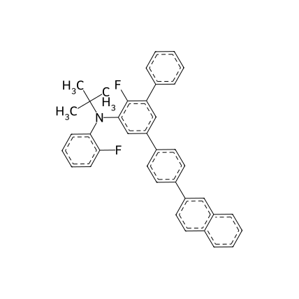 CC(C)(C)N(c1ccccc1F)c1cc(-c2ccc(-c3ccc4ccccc4c3)cc2)cc(-c2ccccc2)c1F